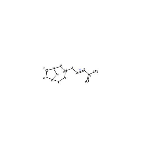 CCC(=O)/C=C/CN1CCC2COC(C2)C1